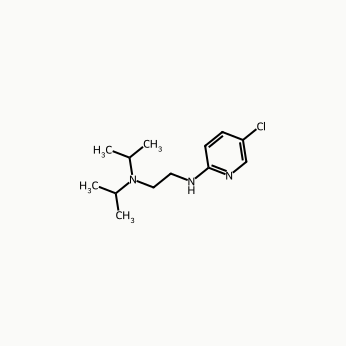 CC(C)N(CCNc1ccc(Cl)cn1)C(C)C